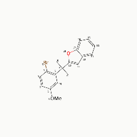 COc1ccc(Br)c(C(C)(C)c2cc3ccccc3o2)c1